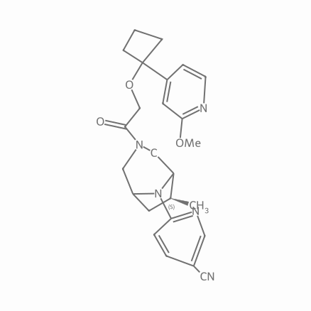 COc1cc(C2(OCC(=O)N3CC4C[C@H](C)C(C3)N4c3ccc(C#N)cn3)CCC2)ccn1